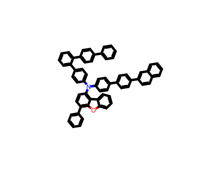 c1ccc(-c2ccc(-c3ccccc3-c3ccc(N(c4ccc(-c5ccc(-c6ccc7ccccc7c6)cc5)cc4)c4ccc(-c5ccccc5)c5oc6ccccc6c45)cc3)cc2)cc1